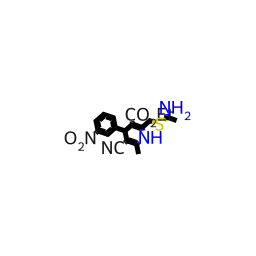 CCOC(=O)C1=C(CSC(C)N)NC(C)=C(C#N)C1c1cccc([N+](=O)[O-])c1